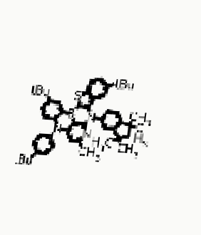 Cc1cc2c3c(n1)N(c1ccc4c(c1)C(C)(C)CC4(C)C)c1c(sc4ccc(C(C)(C)C)cc14)B3c1cc(C(C)(C)C)ccc1N2c1ccc(C(C)(C)C)cc1